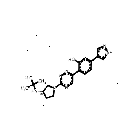 CC(C)(C)N[C@H]1CCN(c2ncc(-c3ccc(-c4cn[nH]c4)cc3O)nn2)C1